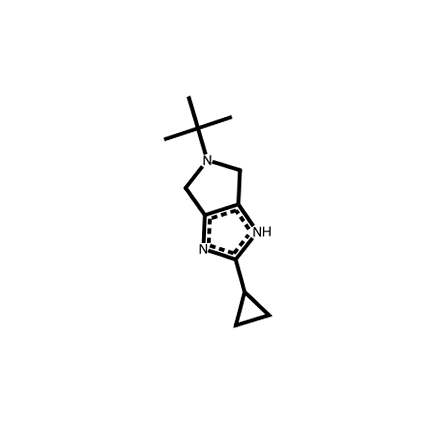 CC(C)(C)N1Cc2nc(C3CC3)[nH]c2C1